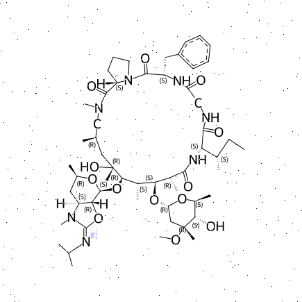 CC[C@H](C)[C@@H]1NC(=O)[C@H](C)[C@@H](O[C@H]2C[C@@](C)(OC)[C@@H](O)[C@H](C)O2)[C@H](C)[C@@H](O[C@@H]2O[C@H](C)C[C@H]3[C@H]2O/C(=N/C(C)C)N3C)[C@](C)(O)C[C@@H](C)CN(C)C(=O)[C@@H]2CCCN2C(=O)[C@H](Cc2ccccc2)NC(=O)CNC1=O